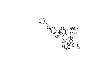 COC(=O)[C@H]1[C@H](O)[C@H]2OC(C)(C)O[C@H]2CN1S(=O)(=O)c1ccc(OCc2ccccc2)cc1